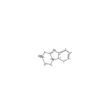 C1=CCC2C(=C1)N=C1CNCCN12